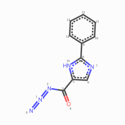 [N-]=[N+]=NC(=O)c1cnc(-c2ccccc2)[nH]1